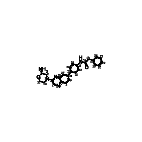 NC1CN(c2cnc3ccc(-c4ccc(NC(=O)Cc5ccccc5)cc4)cc3n2)CCO1